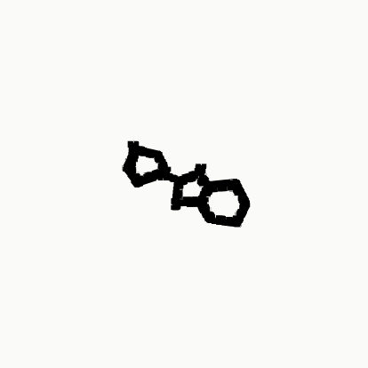 c1ccc2sc(-n3ccnc3)nc2c1